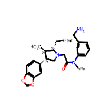 CCCCN(C(=O)CN1C[C@H](c2ccc3c(c2)OCO3)[C@@H](C(=O)O)[C@@H]1CC(C)CCC)c1cccc(CN)c1